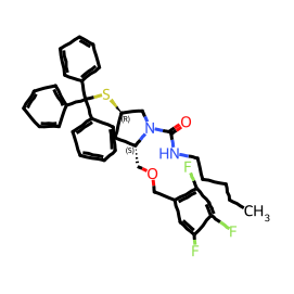 CCCCCNC(=O)N1C[C@H](SC(c2ccccc2)(c2ccccc2)c2ccccc2)C[C@H]1COCc1cc(F)c(F)cc1F